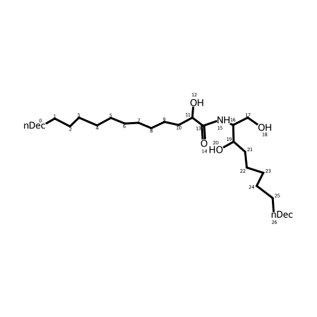 CCCCCCCCCCCCCCCCCCCCC(O)C(=O)NC(CO)C(O)CCCCCCCCCCCCCCC